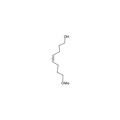 COCCC/C=C\CCCO